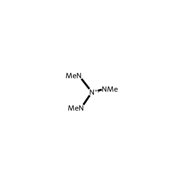 CN[N+](NC)NC